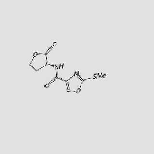 CSc1nc(C(=O)N[C@H]2CCOC2=O)co1